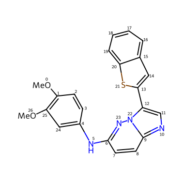 COc1ccc(Nc2ccc3ncc(-c4cc5ccccc5s4)n3n2)cc1OC